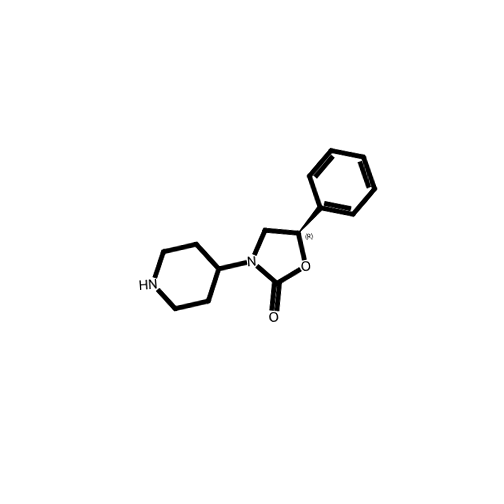 O=C1O[C@H](c2ccccc2)CN1C1CCNCC1